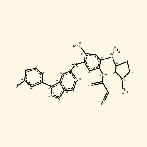 C=CC(=O)Nc1cc(Nc2cc3c(cn2)cnn3-c2cccc(F)c2)c(OC)cc1N(C)C1CCN(C)C1